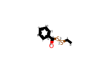 CCSSC(=O)c1ccccc1